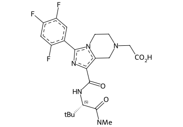 CNC(=O)[C@@H](NC(=O)c1nc(-c2cc(F)c(F)cc2F)n2c1CN(CC(=O)O)CC2)C(C)(C)C